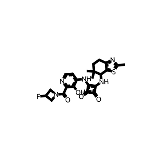 Cc1nc2c(s1)C(Nc1c(Nc3ccnc(C(=O)N4CC(F)C4)c3O)c(=O)c1=O)C(C)(C)CC2